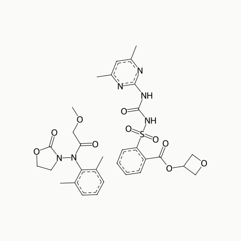 COCC(=O)N(c1c(C)cccc1C)N1CCOC1=O.Cc1cc(C)nc(NC(=O)NS(=O)(=O)c2ccccc2C(=O)OC2COC2)n1